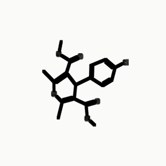 COC(=O)C1=C(C)OC(C)=C(C(=O)OC)C1c1ccc(Cl)cc1